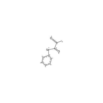 CC(=O)C(=O)[Se]c1ccccc1